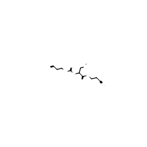 C=CCCOC(=O)NC(CSC)C(=O)NCCC#N